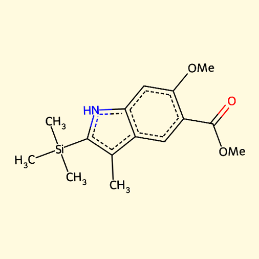 COC(=O)c1cc2c(C)c([Si](C)(C)C)[nH]c2cc1OC